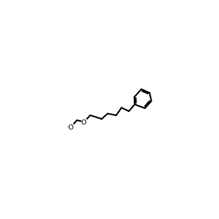 [O]COCCCCCCc1ccccc1